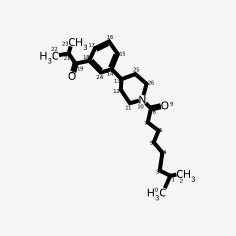 CC(C)CCCCCC(=O)N1CCC(c2cccc(C(=O)C(C)C)c2)CC1